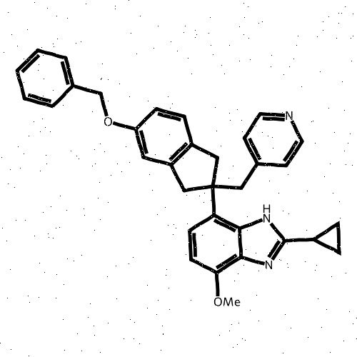 COc1ccc(C2(Cc3ccncc3)Cc3ccc(OCc4ccccc4)cc3C2)c2[nH]c(C3CC3)nc12